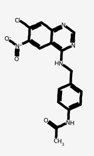 CC(=O)Nc1ccc(CNc2ncnc3cc(Cl)c([N+](=O)[O-])cc23)cc1